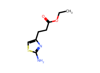 CCOC(=O)CCc1csc(N)n1